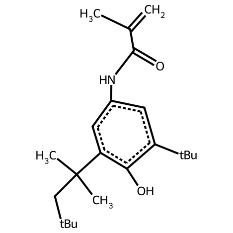 C=C(C)C(=O)Nc1cc(C(C)(C)C)c(O)c(C(C)(C)CC(C)(C)C)c1